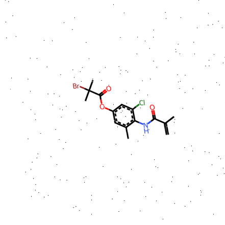 C=C(C)C(=O)Nc1c(C)cc(OC(=O)C(C)(C)Br)cc1Cl